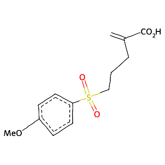 C=C(CCCS(=O)(=O)c1ccc(OC)cc1)C(=O)O